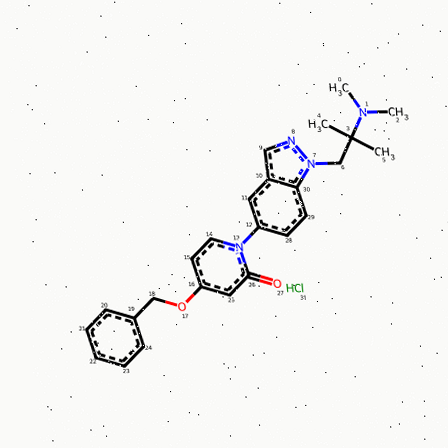 CN(C)C(C)(C)Cn1ncc2cc(-n3ccc(OCc4ccccc4)cc3=O)ccc21.Cl